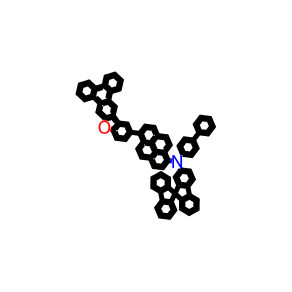 c1ccc(-c2ccc(N(c3ccc4c(c3)C3(c5ccccc5-c5ccccc53)c3ccccc3-4)c3ccc4ccc5c(-c6ccc7oc8cc9c%10ccccc%10c%10ccccc%10c9cc8c7c6)ccc6ccc3c4c65)cc2)cc1